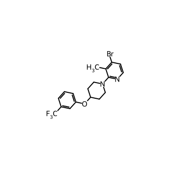 Cc1c(Br)ccnc1N1CCC(Oc2cccc(C(F)(F)F)c2)CC1